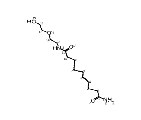 NC(=O)CCCCCCCCC(=O)NCCOCCO